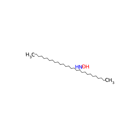 CCCCCCCCCCCCCCCCCC(CCCCCCCCCC)NO